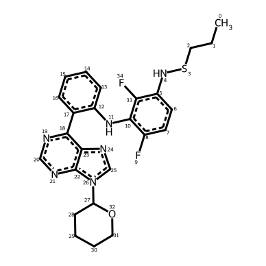 CCCSNc1ccc(F)c(Nc2ccccc2-c2ncnc3c2ncn3C2CCCCO2)c1F